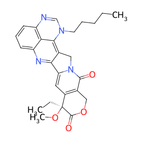 CCCCCN1C=Nc2cccc3nc4c(c1c23)Cn1c-4cc2c(c1=O)COC(=O)[C@@]2(CC)OC